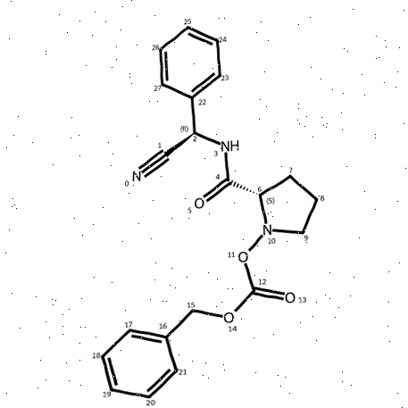 N#C[C@H](NC(=O)[C@@H]1CCCN1OC(=O)OCc1ccccc1)c1ccccc1